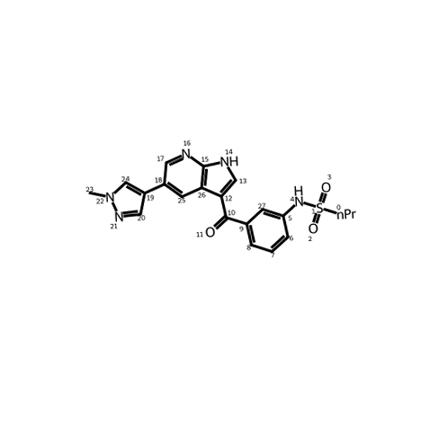 CCCS(=O)(=O)Nc1cccc(C(=O)c2c[nH]c3ncc(-c4cnn(C)c4)cc23)c1